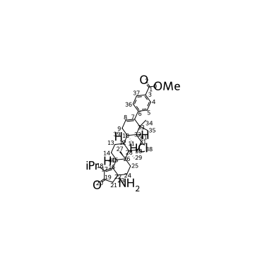 COC(=O)c1ccc(C2=CC[C@]3(C)[C@H]4CC[C@@H]5C6=C(C(C)C)C(=O)C[C@]6(N)CC[C@@]5(C)[C@]4(C)CC[C@H]3C2(C)C)cc1.Cl